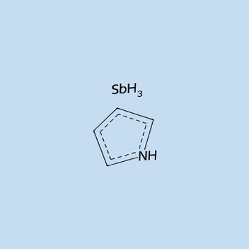 [SbH3].c1cc[nH]c1